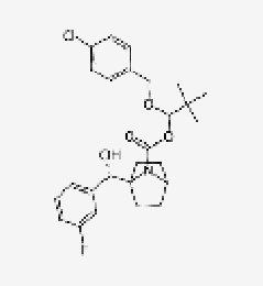 CC(C)(C)C(OCc1ccc(Cl)cc1)OC(=O)N1C2CCC1([C@@H](O)c1cccc(F)c1)CC2